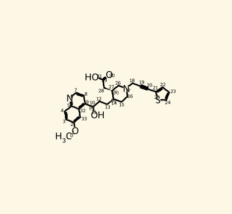 COc1ccc2nccc([C@H](O)CC[C@@H]3CCN(CC#Cc4cccs4)C[C@@H]3CC(=O)O)c2c1